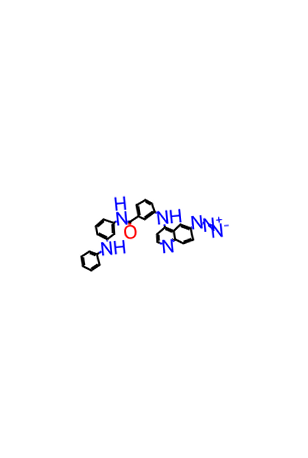 [N-]=[N+]=Nc1ccc2nccc(Nc3cccc(C(=O)Nc4cccc(Nc5ccccc5)c4)c3)c2c1